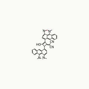 CN(C)c1ccc(C2=C(O)C(c3ccc(N(C)C)c4c(N(C)C)c5ccccc5cc34)C2=C(C#N)C#N)c2cc3ccccc3c(N(C)C)c12